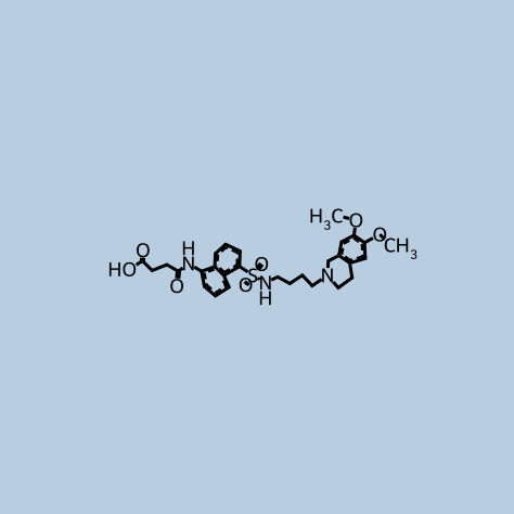 COc1cc2c(cc1OC)CN(CCCCNS(=O)(=O)c1cccc3c(NC(=O)CCC(=O)O)cccc13)CC2